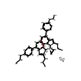 CCCC1=Cc2c(-c3ccc(CCC)cc3)cccc2[CH]1[Hf+2]1([CH]2C(CCC)=Cc3c(-c4ccc(CCC)cc4)cccc32)[CH2][CH2]1.[Cl-].[Cl-]